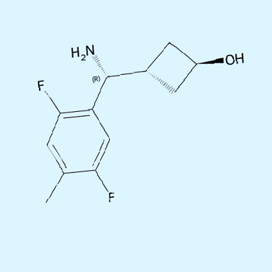 Cc1cc(F)c([C@H](N)[C@H]2C[C@H](O)C2)cc1F